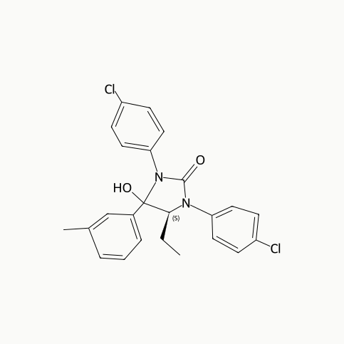 CC[C@@H]1N(c2ccc(Cl)cc2)C(=O)N(c2ccc(Cl)cc2)C1(O)c1cccc(C)c1